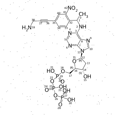 CC(Nc1ncnc2c1ncn2[C@H]1C[C@H](O)[C@@H](COP(=O)(O)OP(=O)(O)OP(=O)(O)O)O1)c1ccc(C#CCN)cc1[N+](=O)[O-]